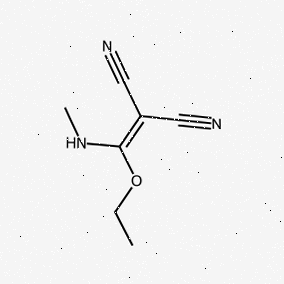 CCOC(NC)=C(C#N)C#N